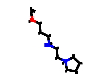 CC(C)OCCCNCCN1CCCC1